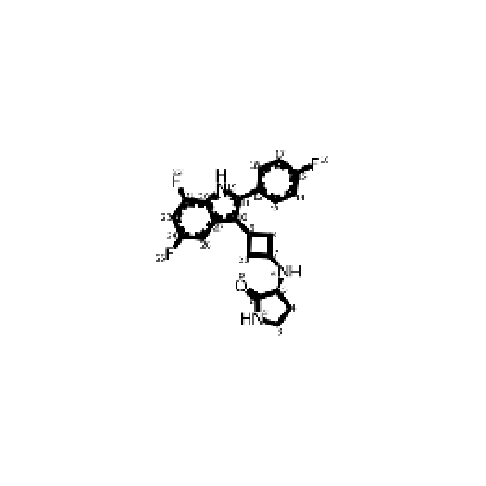 O=C1NCC[C@@H]1NC1CC(c2c(-c3ccc(F)cc3)[nH]c3c(F)cc(F)cc23)C1